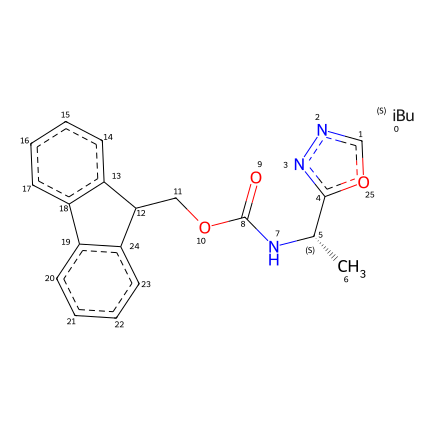 CC[C@H](C)c1nnc([C@H](C)NC(=O)OCC2c3ccccc3-c3ccccc32)o1